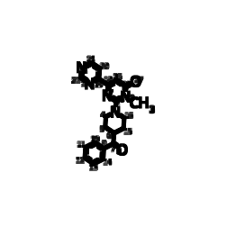 Cn1c(N2CCC(C(=O)c3ccccc3)CC2)nc(-c2ccncn2)cc1=O